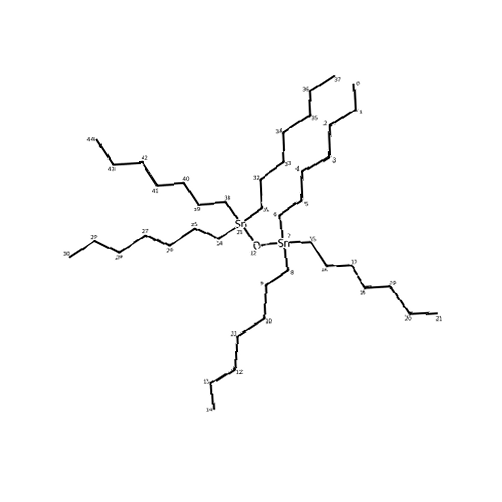 CCCCCC[CH2][Sn]([CH2]CCCCCC)([CH2]CCCCCC)[O][Sn]([CH2]CCCCCC)([CH2]CCCCCC)[CH2]CCCCCC